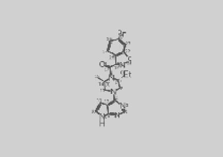 CC[C@@H]1CN(c2ncnc3[nH]ccc23)C[C@@H](C)N1C(=O)c1nsc2cc(Br)ccc12